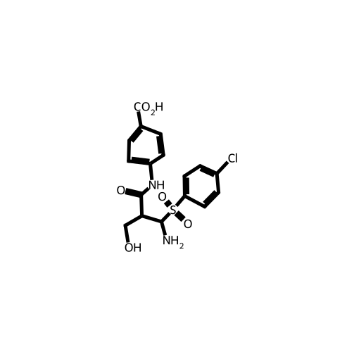 NC(C(CO)C(=O)Nc1ccc(C(=O)O)cc1)S(=O)(=O)c1ccc(Cl)cc1